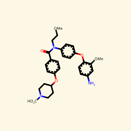 COCCN(C(=O)c1ccc(OC2CCN(C(=O)O)CC2)cc1)c1ccc(Oc2ccc(N)cc2OC)cc1